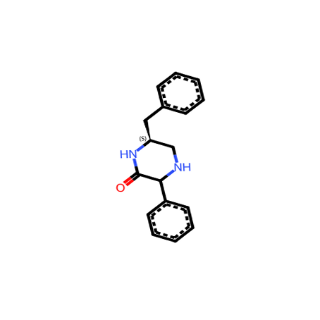 O=C1N[C@@H](Cc2ccccc2)CNC1c1ccccc1